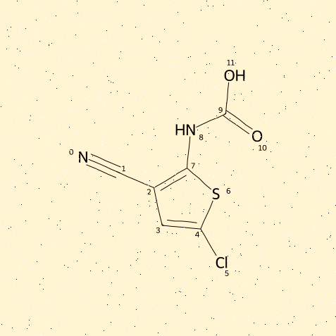 N#Cc1cc(Cl)sc1NC(=O)O